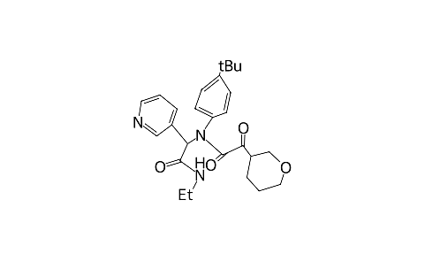 CCNC(=O)C(c1cccnc1)N(C(=O)C(=O)C1CCCOC1)c1ccc(C(C)(C)C)cc1